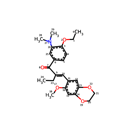 CCOc1ccc(C(=O)/C(=C/c2cc3c(cc2OC)OCCO3)CC)cc1N(C)C